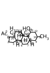 CC(=O)[C@H]1CC[C@H]2[C@@H]3CC[C@H]4CC(C)CC(O)[C@]4(C)[C@H]3CC[C@]12C